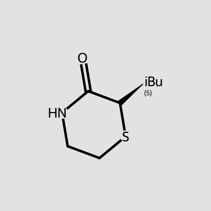 CC[C@H](C)C1SCCNC1=O